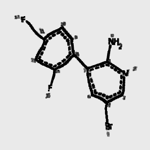 Nc1ncc(Br)cc1-c1ccc(F)cc1F